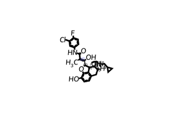 C/C(C(=O)Nc1ccc(F)c(Cl)c1)=C(/O)[C@@H]1Oc2c(O)ccc3c2[C@@]12CCN(CC1CC1)[C@H](C3)[C@@]2(C)O